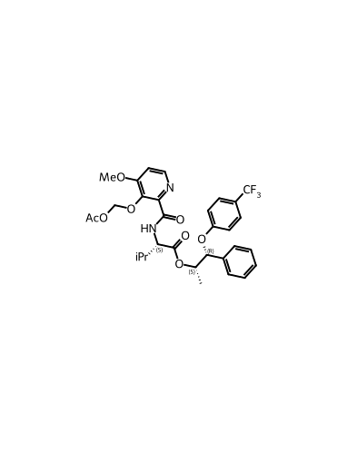 COc1ccnc(C(=O)N[C@H](C(=O)O[C@@H](C)[C@H](Oc2ccc(C(F)(F)F)cc2)c2ccccc2)C(C)C)c1OCOC(C)=O